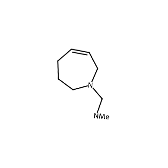 CNCN1CC=CCCC1